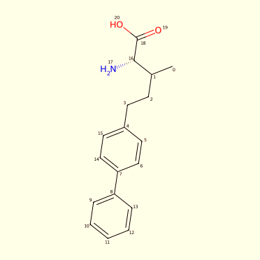 CC(CCc1ccc(-c2ccccc2)cc1)[C@H](N)C(=O)O